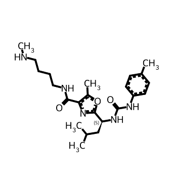 CNCCCCNC(=O)c1nc([C@H](CC(C)C)NC(=O)Nc2ccc(C)cc2)oc1C